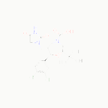 CC(C)(C)C1CN(C(=O)O)C[C@@H](CN2CC(=O)NC2=O)[C@H](c2ccc(Cl)c(Cl)c2)O1